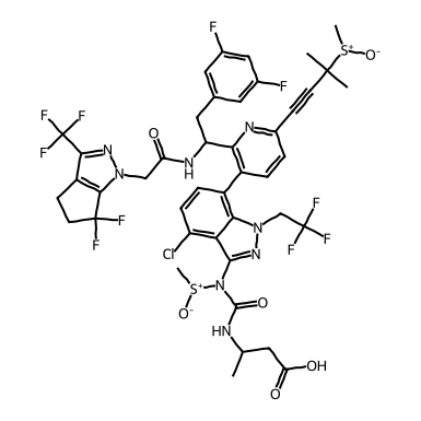 CC(CC(=O)O)NC(=O)N(c1nn(CC(F)(F)F)c2c(-c3ccc(C#CC(C)(C)[S+](C)[O-])nc3C(Cc3cc(F)cc(F)c3)NC(=O)Cn3nc(C(F)(F)F)c4c3C(F)(F)CC4)ccc(Cl)c12)[S+](C)[O-]